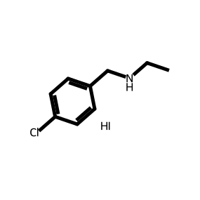 CCNCc1ccc(Cl)cc1.I